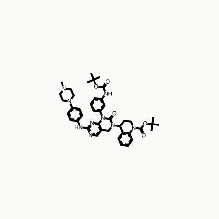 CN1CCN(c2ccc(Nc3ncc4c(n3)N(c3cccc(NC(=O)OC(C)(C)C)c3)C(=O)N(C3CCN(C(=O)OC(C)(C)C)c5ccccc53)C4)cc2)CC1